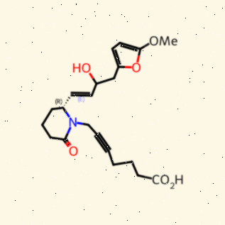 COc1ccc(CC(O)/C=C/[C@H]2CCCC(=O)N2CC#CCCCC(=O)O)o1